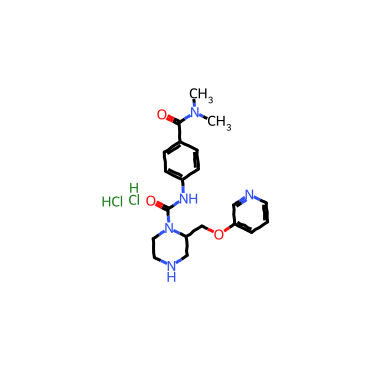 CN(C)C(=O)c1ccc(NC(=O)N2CCNCC2COc2cccnc2)cc1.Cl.Cl